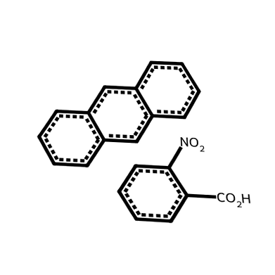 O=C(O)c1ccccc1[N+](=O)[O-].c1ccc2cc3ccccc3cc2c1